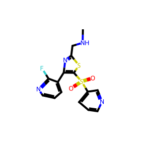 CNCc1nc(-c2cccnc2F)c(S(=O)(=O)c2cccnc2)s1